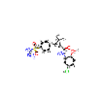 COc1ccc(Cl)cc1NC(=O)C1C(c2ccc(S(=O)(=O)NN)cc2)C1(C)C